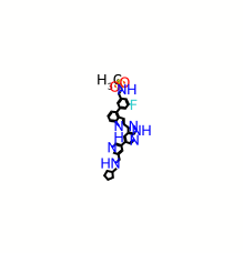 CS(=O)(=O)NCc1cc(F)cc(-c2cccc3[nH]c(-c4n[nH]c5ncc(-c6cncc(CNCC7CCCC7)c6)cc45)cc23)c1